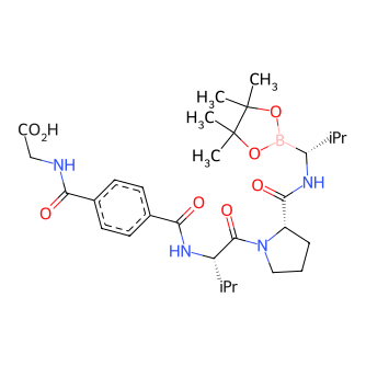 CC(C)[C@H](NC(=O)[C@@H]1CCCN1C(=O)[C@@H](NC(=O)c1ccc(C(=O)NCC(=O)O)cc1)C(C)C)B1OC(C)(C)C(C)(C)O1